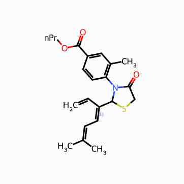 C=C/C(=C\C=C(C)C)C1SCC(=O)N1c1ccc(C(=O)OCCC)cc1C